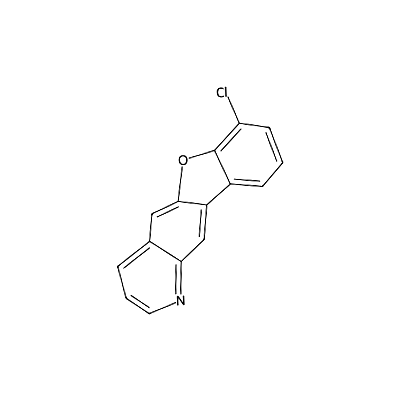 Clc1cccc2c1oc1cc3cccnc3cc12